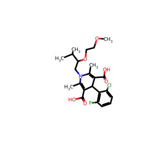 COCCOC(CN1C(C)=C(C(=O)O)C(c2c(F)cccc2Cl)C(C(=O)O)=C1C)C(C)C